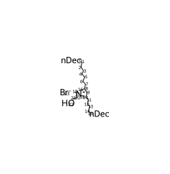 CCCCCCCCCCCCCCCCCC(CCCCCCCCCCCCCCCC)C[N+](C)(C)CCO.[Br-]